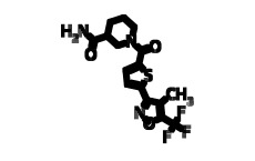 Cc1c(-c2ccc(C(=O)N3CCCC(C(N)=O)C3)s2)noc1C(F)(F)F